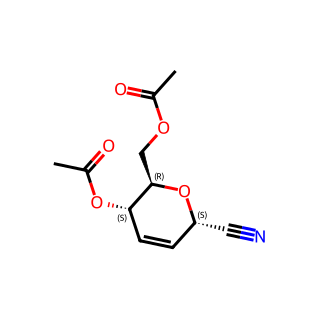 CC(=O)OC[C@H]1O[C@H](C#N)C=C[C@@H]1OC(C)=O